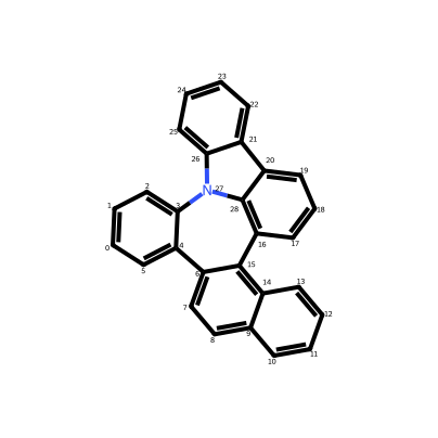 c1ccc2c(c1)-c1ccc3ccccc3c1-c1cccc3c4ccccc4n-2c13